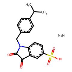 CC(C)c1ccc(CN2C(=O)C(=O)c3cc(S(=O)(=O)O)ccc32)cc1.[NaH]